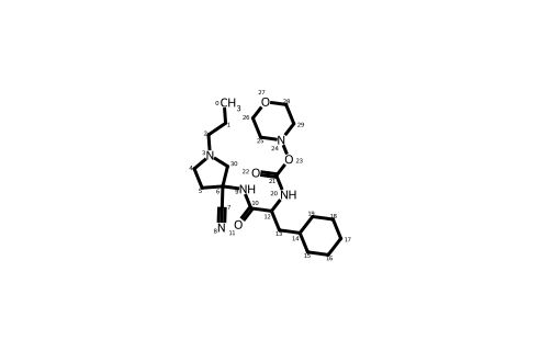 CCCN1CCC(C#N)(NC(=O)C(CC2CCCCC2)NC(=O)ON2CCOCC2)C1